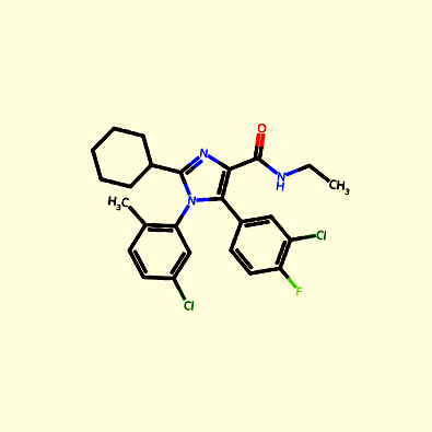 CCNC(=O)c1nc(C2CCCCC2)n(-c2cc(Cl)ccc2C)c1-c1ccc(F)c(Cl)c1